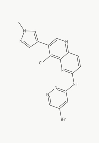 CC(C)c1cnnc(Nc2ccc3ncc(-c4cnn(C)c4)c(Cl)c3n2)c1